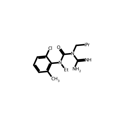 CCN(C(=O)N(CC(C)C)C(=N)N)c1c(C)cccc1Cl